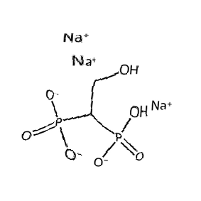 O=P([O-])([O-])C(CO)P(=O)([O-])O.[Na+].[Na+].[Na+]